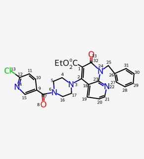 CCOC(=O)c1c(N2CCN(C(=O)c3ccc(Cl)nc3)CC2)c2cccnc2n(Cc2ccccc2)c1=O